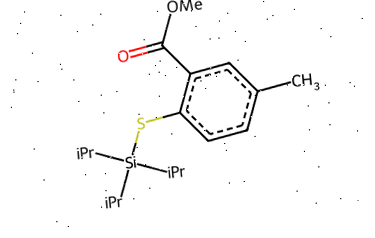 COC(=O)c1cc(C)ccc1S[Si](C(C)C)(C(C)C)C(C)C